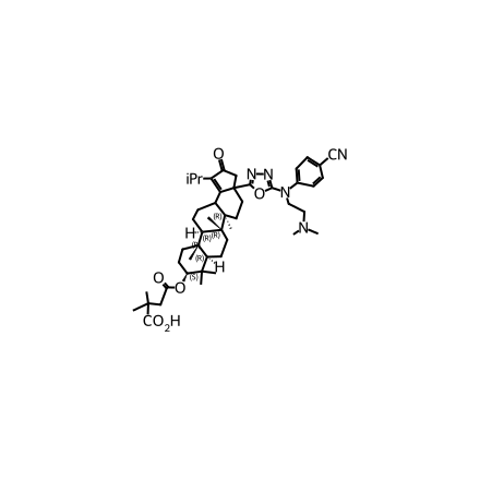 CC(C)C1=C2C3CC[C@@H]4[C@@]5(C)CC[C@H](OC(=O)CC(C)(C)C(=O)O)C(C)(C)[C@@H]5CC[C@@]4(C)[C@]3(C)CCC2(c2nnc(N(CCN(C)C)c3ccc(C#N)cc3)o2)CC1=O